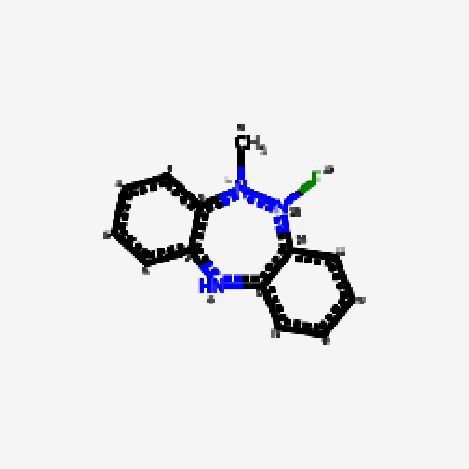 Cn1c2ccccc2[nH]c2ccccc2n1F